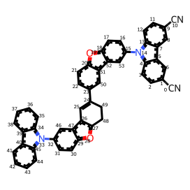 N#Cc1ccc2c(c1)c1cc(C#N)ccc1n2-c1ccc2oc3ccc(C4=Cc5c(oc6ccc(-n7c8ccccc8c8ccccc87)cc56)CC4)cc3c2c1